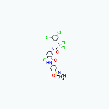 CS(=O)(=NC#N)c1ccc(NC(=O)c2cc(NC(=O)[C@H]3[C@H](c4cc(Cl)cc(Cl)c4)C3(Cl)Cl)ccc2Cl)cc1